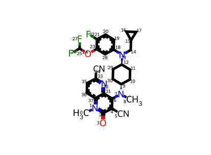 Cn1c(=O)c(C#N)c(N(C)[C@H]2CC[C@H](N(CC3CC3)c3ccc(F)c(OC(F)F)c3)CC2)c2nc(C#N)ccc21